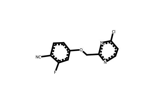 N#Cc1ccc(OCc2nccc(Cl)n2)cc1F